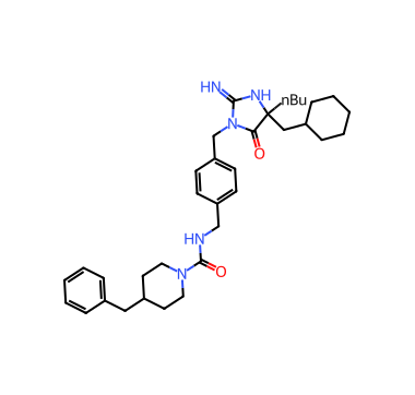 CCCCC1(CC2CCCCC2)NC(=N)N(Cc2ccc(CNC(=O)N3CCC(Cc4ccccc4)CC3)cc2)C1=O